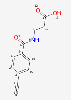 [C]#Cc1ccc(C(=O)NCCC(=O)O)cc1